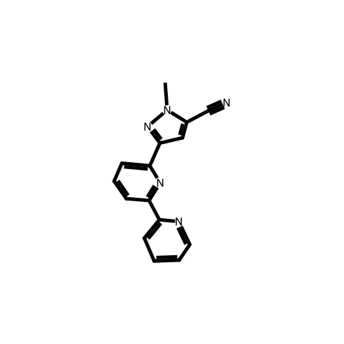 Cn1nc(-c2cccc(-c3ccccn3)n2)cc1C#N